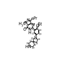 CCCc1nn(C)c2c(=O)[nH]c(-c3cc(N4CCC5(CCNCC5)C4)ccc3OCC)nc12